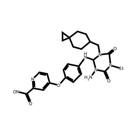 CCN1C(=O)N(N)C(Nc2ccc(Oc3ccnc(C(=O)N=O)c3)cc2)N(CC2CCC3(CC2)CC3)C1=O